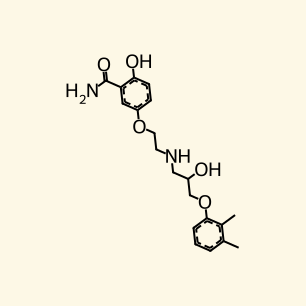 Cc1cccc(OCC(O)CNCCOc2ccc(O)c(C(N)=O)c2)c1C